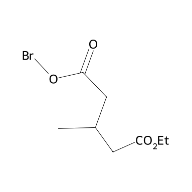 CCOC(=O)CC(C)CC(=O)OBr